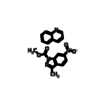 COC(=O)n1nc(C)c2ccc([N+](=O)[O-])cc21.c1ccc2ncccc2c1